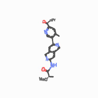 CCCC(=O)c1cc(C)c(-c2cc3cnc(NC(=O)[C@H](C)OC)cc3cn2)cn1